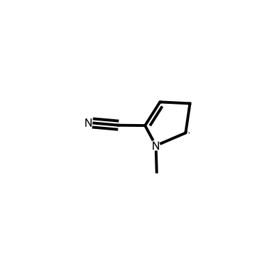 CN1[CH]CC=C1C#N